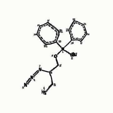 CC(C)(C)[Si](OCC(CS)N=[N+]=[N-])(c1ccccc1)c1ccccc1